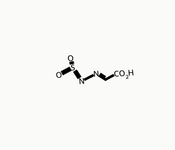 O=C(O)C=NN=S(=O)=O